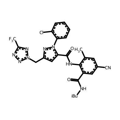 CCC(C)NC(=O)c1cc(C#N)cc(C)c1NC(=O)c1cc(Cn2nnc(C(F)(F)F)n2)nn1-c1ccccc1Cl